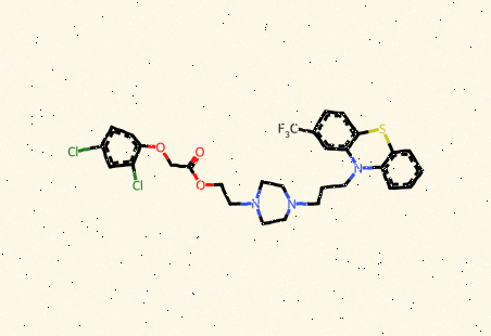 O=C(COc1ccc(Cl)cc1Cl)OCCN1CCN(CCCN2c3ccccc3Sc3ccc(C(F)(F)F)cc32)CC1